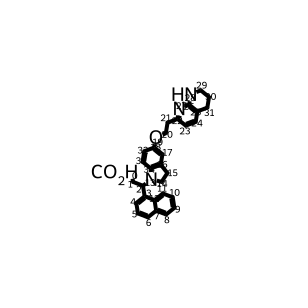 O=C(O)CC(c1cccc2ccccc12)N1CCc2cc(OCCc3ccc4c(n3)NCCC4)ccc21